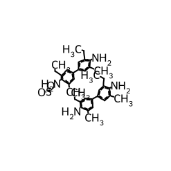 CCc1cc(-c2cc(C)c(N)c(CC)c2)cc(C)c1N.CCc1cc(-c2cc(C)c(N)c(CC)c2)cc(C)c1N.O=S=O